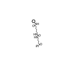 CC(C)C(=O)CCCCNC(=O)NCCCCCC(=O)Nc1ccccc1